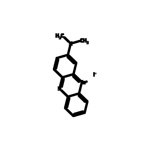 CN(C)c1ccc2nc3ccccc3[se+]c2c1.[I-]